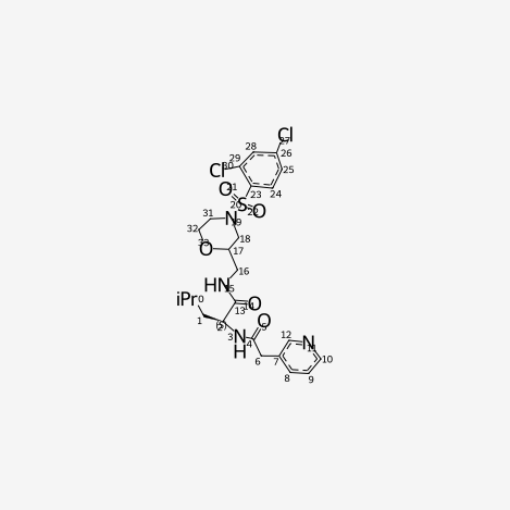 CC(C)C[C@H](NC(=O)Cc1cccnc1)C(=O)NCC1CN(S(=O)(=O)c2ccc(Cl)cc2Cl)CCO1